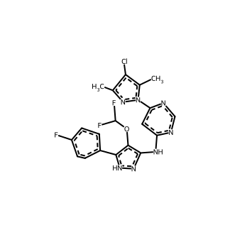 Cc1nn(-c2cc(Nc3n[nH]c(-c4ccc(F)cc4)c3OC(F)F)ncn2)c(C)c1Cl